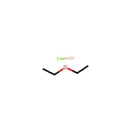 CCOCC.[B]F